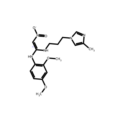 COc1ccc(N/C(=C/[N+](=O)[O-])NCCCn2cnc(C)c2)c(OC)c1